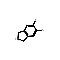 Fc1cc2c(cc1Br)CNC2